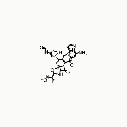 CON=C(F)C(=O)NC1C(=O)N2C(C(=O)[O-])=C(C[n+]3ccc(N)n4nccc43)C(N3C=C(NC=O)SN3)S[C@@H]12